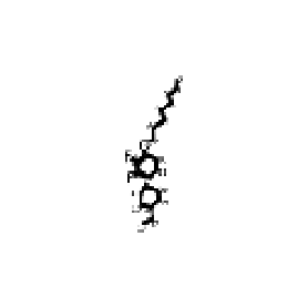 CCCCCCCCOc1ccc([C@H]2CC[C@H](CC)CC2)c(F)c1F